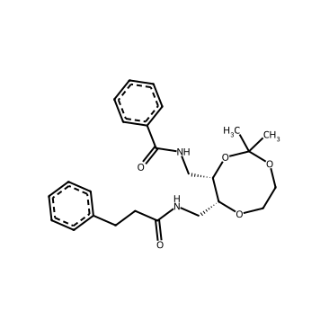 CC1(C)OCCO[C@H](CNC(=O)CCc2ccccc2)[C@H](CNC(=O)c2ccccc2)O1